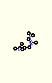 c1ccc(-c2cc(-c3ccccc3)c3c(ccc4cc(-c5cccc(-c6nc(-c7ccccc7)nc(-c7cccc(-n8c9ccccc9c9ccccc98)c7)n6)c5)ccc43)n2)cc1